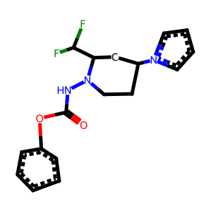 O=C(NN1CCC(n2cccc2)CC1C(F)F)Oc1ccccc1